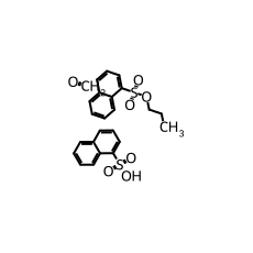 C=O.CCCOS(=O)(=O)c1cccc2ccccc12.O=S(=O)(O)c1cccc2ccccc12